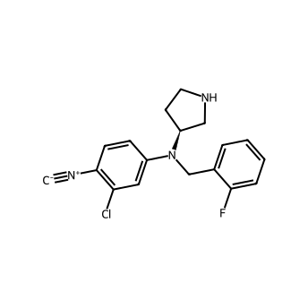 [C-]#[N+]c1ccc(N(Cc2ccccc2F)[C@H]2CCNC2)cc1Cl